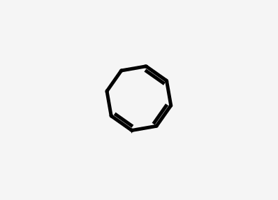 [C]1=C/CC\C=C/C=C\1